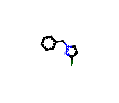 Fc1ccn(Cc2ccccc2)n1